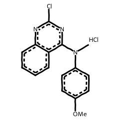 COc1ccc(N(C)c2nc(Cl)nc3ccccc23)cc1.Cl